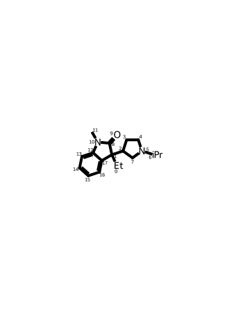 CCC1(C2CCN(C(C)C)C2)C(=O)N(C)c2ccccc21